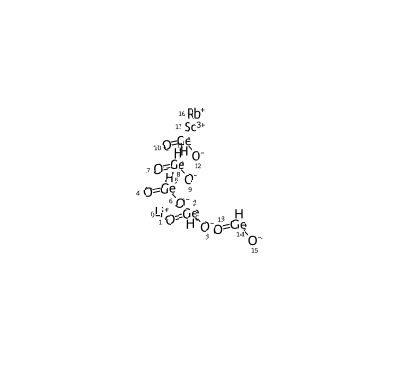 [Li+].[O]=[GeH][O-].[O]=[GeH][O-].[O]=[GeH][O-].[O]=[GeH][O-].[O]=[GeH][O-].[Rb+].[Sc+3]